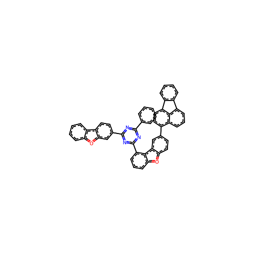 c1ccc(-c2nc(-c3ccc4c(c3)oc3ccccc34)nc(-c3cccc4oc5ccc(-c6ccc7c8c(cccc68)-c6ccccc6-7)cc5c34)n2)cc1